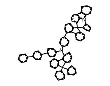 c1ccc(-c2ccc(-c3ccc(N(c4ccc(-c5cccc6c5-c5ccccc5C65c6ccccc6-n6c7ccccc7c7cccc5c76)cc4)c4cccc5c4-c4ccccc4C5(c4ccccc4)c4ccccc4)cc3)cc2)cc1